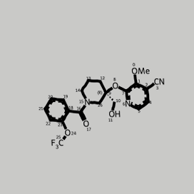 COc1c(C#N)ccnc1O[C@]1(CO)CCCN(C(=O)c2ccccc2OC(F)(F)F)C1